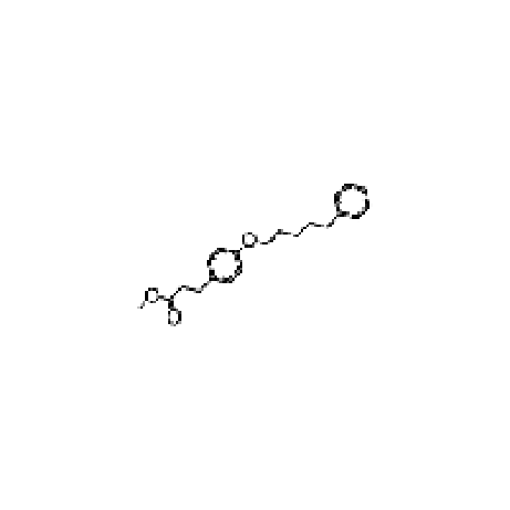 COC(=O)CCc1ccc(OCCCCCc2ccccc2)cc1